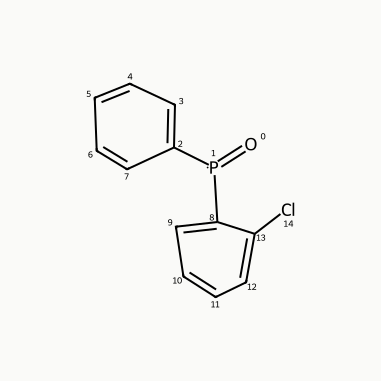 O=[P](c1ccccc1)c1ccccc1Cl